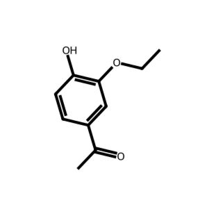 CCOc1cc(C(C)=O)ccc1O